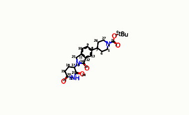 CC(C)(C)OC(=O)N1CCC(c2ccc3c(c2)C(=O)N(C2CCC(=O)NC2=O)C3)CC1